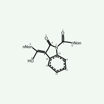 CCCCCCCCCC(=O)N1C(=O)C(=C(O)CCCCCCCCC)c2ccccc21